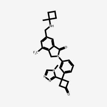 Cn1cnnc1C1(c2cccc(N3Cc4c(cc(CNC5(C)CCC5)cc4C(F)(F)F)C3=O)c2)CC(=O)C1